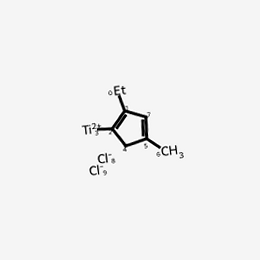 CCC1=[C]([Ti+2])CC(C)=C1.[Cl-].[Cl-]